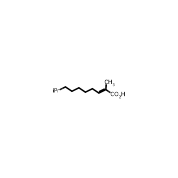 CC(=CCCCCCC(C)C)C(=O)O